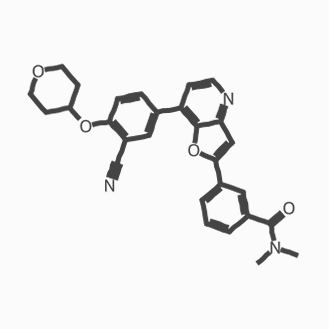 CN(C)C(=O)c1cccc(-c2cc3nccc(-c4ccc(OC5CCOCC5)c(C#N)c4)c3o2)c1